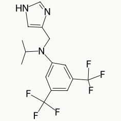 CC(C)N(Cc1c[nH]cn1)c1cc(C(F)(F)F)cc(C(F)(F)F)c1